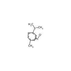 CC(=O)[O-].Cc1ccc([S+](C)C)cc1